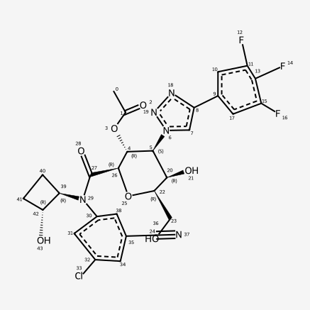 CC(=O)O[C@@H]1[C@@H](n2cc(-c3cc(F)c(F)c(F)c3)nn2)[C@@H](O)[C@@H](CO)O[C@H]1C(=O)N(c1cc(Cl)cc(C#N)c1)[C@@H]1CC[C@H]1O